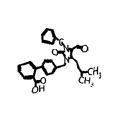 CC(C)CCc1c(C=O)n(Cc2ccccc2)c(=O)n1Cc1ccc(-c2ccccc2C(=O)O)cc1